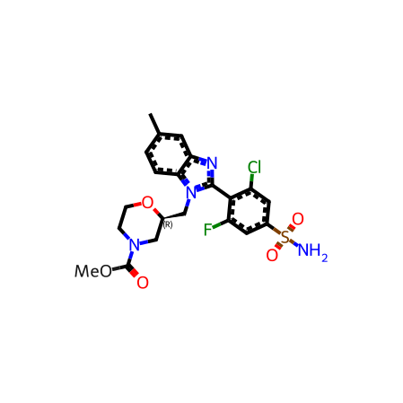 COC(=O)N1CCO[C@@H](Cn2c(-c3c(F)cc(S(N)(=O)=O)cc3Cl)nc3cc(C)ccc32)C1